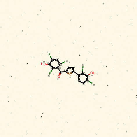 O=C(c1ccc(-c2ccc(F)c(O)c2F)s1)c1c(F)cc(F)c(O)c1F